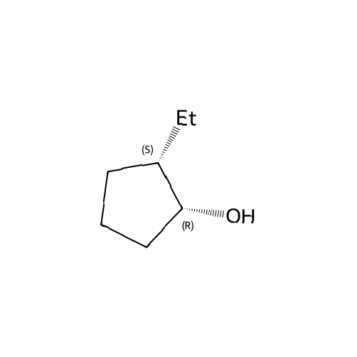 CC[C@H]1CCC[C@H]1O